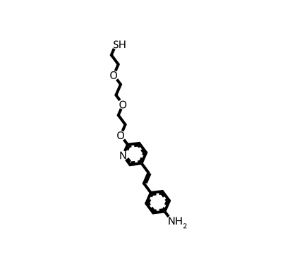 Nc1ccc(/C=C/c2ccc(OCCOCCOCCS)nc2)cc1